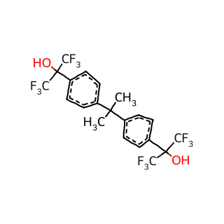 CC(C)(c1ccc(C(O)(C(F)(F)F)C(F)(F)F)cc1)c1ccc(C(O)(C(F)(F)F)C(F)(F)F)cc1